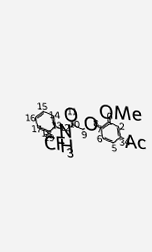 COc1cc(C(C)=O)ccc1OCC(=O)Nc1ccccc1C(F)(F)F